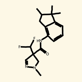 CC1Cc2c(NC(=O)C3(C(F)F)C=NN(C)C3)cccc2C1(C)C